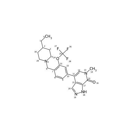 CCC1CCN(Cc2ccc(-c3cn(C)c(=O)c4[nH]ncc34)cc2OC(F)(F)F)CC1